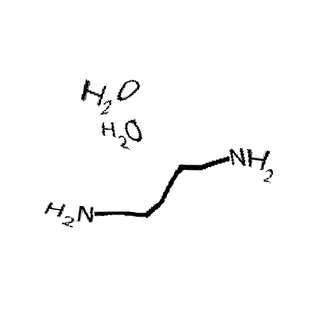 NCCN.O.O